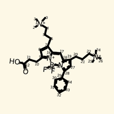 C[N+](C)(C)CCCC1=CC(CCC(=O)O)=[N+]2C1=Cc1c(CCC[N+](C)(C)C)cc(-c3ccccc3)n1[B-]2(F)F